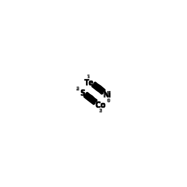 [Ni]=[Te].[S]=[Co]